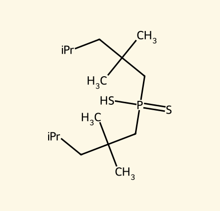 CC(C)CC(C)(C)CP(=S)(S)CC(C)(C)CC(C)C